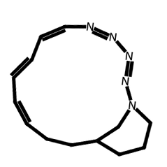 C1=C\CCC2CCCN(C2)/N=N/N=N\C=C/C=C/1